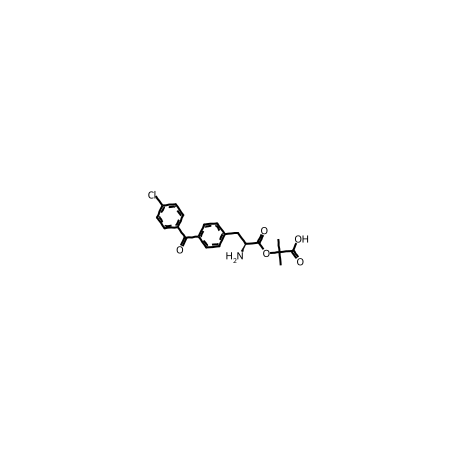 CC(C)(OC(=O)[C@@H](N)Cc1ccc(C(=O)c2ccc(Cl)cc2)cc1)C(=O)O